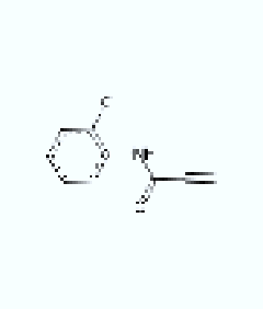 C#CC(=O)Nc1ccccc1Cl